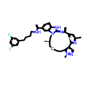 C=C1/N=C2\Nc3ccc(C(=C)NCCCCc4cc(F)cc(F)c4)cc3N2C[C@H](C)CCCCc2c(cnn2C)-c2cc1cc(C)n2